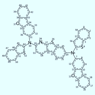 c1ccc2sc(N(c3ccc4c(c3)oc3ccccc34)c3ccc4c(c3)sc3nc(N(c5ccc6c(c5)oc5ccccc56)c5cc6ccccc6s5)ccc34)cc2c1